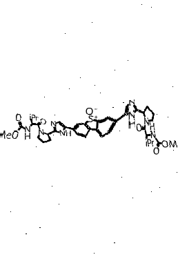 COC(=O)NC(C(=O)N1CCCC1c1ncc(-c2ccc3c4ccc(-c5cnc(C6CCCN6C(=O)C(NC(=O)OC)C(C)C)[nH]5)cc4[s+]([O-])c3c2)[nH]1)C(C)C